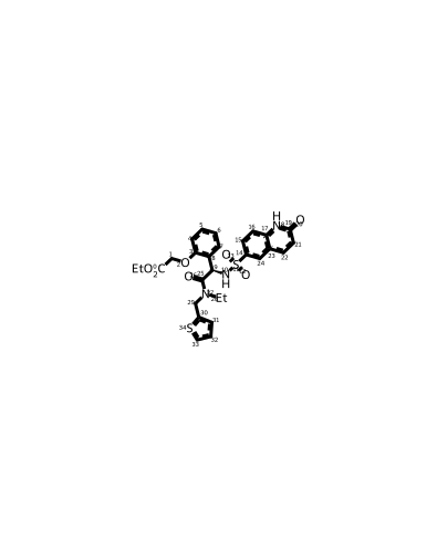 CCOC(=O)COc1ccccc1[C@@H](NS(=O)(=O)c1ccc2[nH]c(=O)ccc2c1)C(=O)N(CC)Cc1cccs1